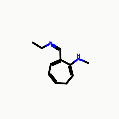 CC/N=C\C1=CC=CCC=C1NC